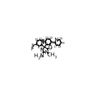 CN1C(=O)C(c2cc(CF)ccn2)(c2cc(-c3ccccn3)ccc2F)N=C1N